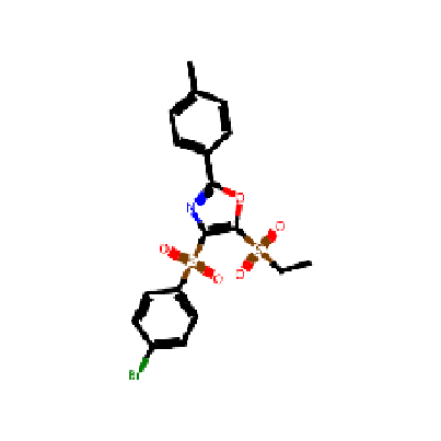 CCS(=O)(=O)c1oc(-c2ccc(C)cc2)nc1S(=O)(=O)c1ccc(Br)cc1